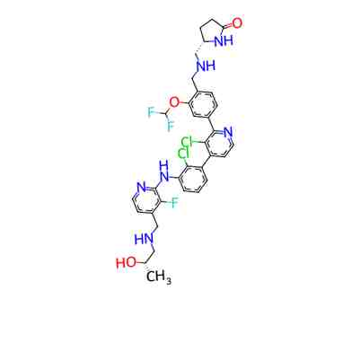 C[C@H](O)CNCc1ccnc(Nc2cccc(-c3ccnc(-c4ccc(CNC[C@@H]5CCC(=O)N5)c(OC(F)F)c4)c3Cl)c2Cl)c1F